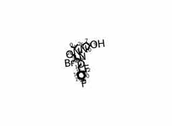 CC(C)n1c(N2CC[C@@H](O)C2)nc(OCc2ccc(F)cc2F)c(Br)c1=O